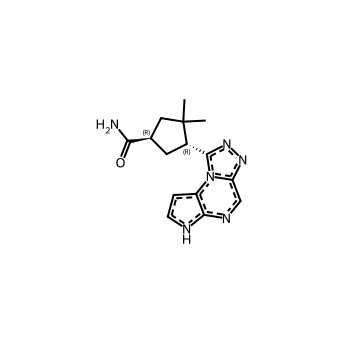 CC1(C)C[C@H](C(N)=O)C[C@H]1c1nnc2cnc3[nH]ccc3n12